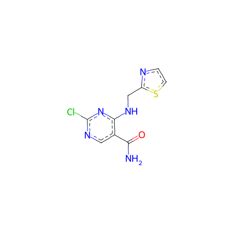 NC(=O)c1cnc(Cl)nc1NCc1nccs1